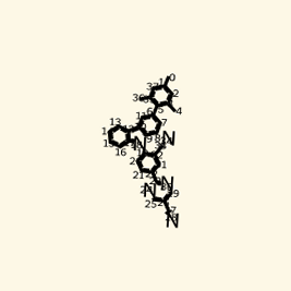 Cc1cc(C)c(-c2ccc3c(c2)c2ccccc2n3-c2ccc(-c3ncc(C#N)cn3)cc2C#N)c(C)c1